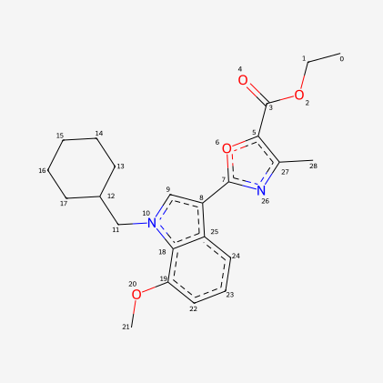 CCOC(=O)c1oc(-c2cn(CC3CCCCC3)c3c(OC)cccc23)nc1C